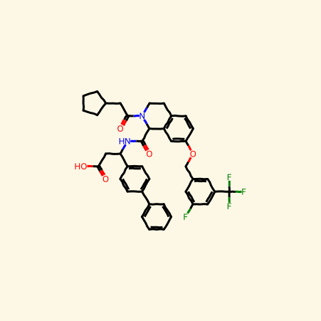 O=C(O)CC(NC(=O)C1c2cc(OCc3cc(F)cc(C(F)(F)F)c3)ccc2CCN1C(=O)CC1CCCC1)c1ccc(-c2ccccc2)cc1